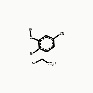 CC(=O)CC(=O)O.CCOc1cc(C#N)ccc1Br